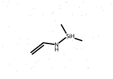 C=CN[SiH](C)C